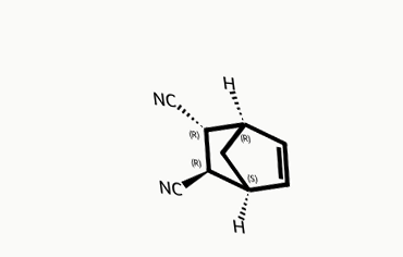 N#C[C@H]1[C@H](C#N)[C@H]2C=C[C@@H]1C2